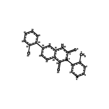 Cc1ccncc1-n1c(=O)[nH]c2cc(-c3ccccc3Cl)ccc2c1=O